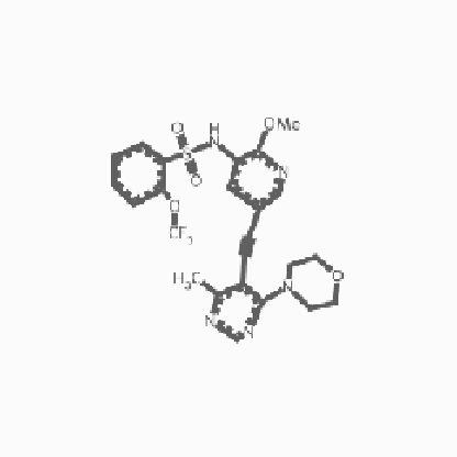 COc1ncc(C#Cc2c(C)ncnc2N2CCOCC2)cc1NS(=O)(=O)c1ccccc1OC(F)(F)F